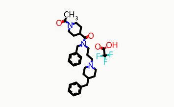 CC(=O)N1CCC(C(=O)N(CCCN2CCC(Cc3ccccc3)CC2)Cc2ccccc2)CC1.O=C(O)C(F)(F)F